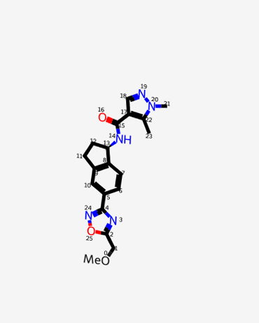 COCc1nc(-c2ccc3c(c2)CC[C@H]3NC(=O)c2cnn(C)c2C)no1